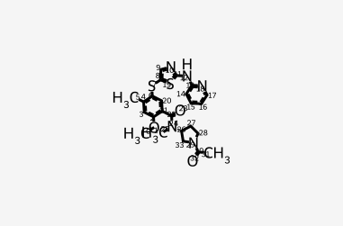 COc1cc(C)c(Sc2cnc(Nc3ccccn3)s2)cc1C(=O)N(C)[C@@H]1CCN(C(C)=O)C1